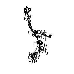 C[C@H](CCCOP(=O)(O)N[C@@H](CCC(=O)O)C(=O)O)NC(=O)CC[C@H](NC(=O)CCCCCNC(=O)CC[C@@H](NC(=O)CCOCCOCCOCCOCCNC(=O)CCC(=O)C1Cc2ccccc2C#Cc2ccccc21)C(=O)N[C@@H](CCCCNC(=O)CCCc1ccc(I)cc1)C(=O)O)C(=O)O